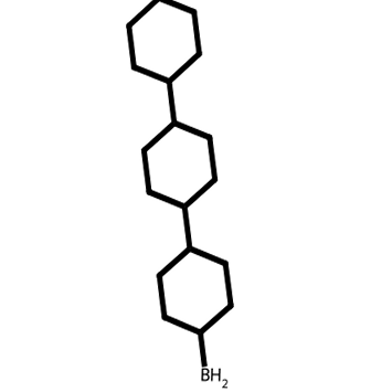 BC1CCC(C2CCC(C3CCCCC3)CC2)CC1